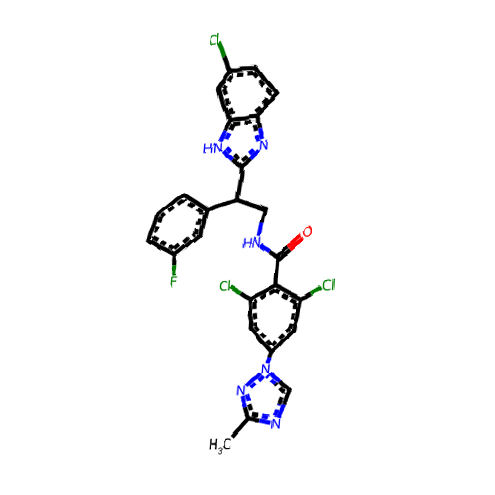 Cc1ncn(-c2cc(Cl)c(C(=O)NCC(c3cccc(F)c3)c3nc4ccc(Cl)cc4[nH]3)c(Cl)c2)n1